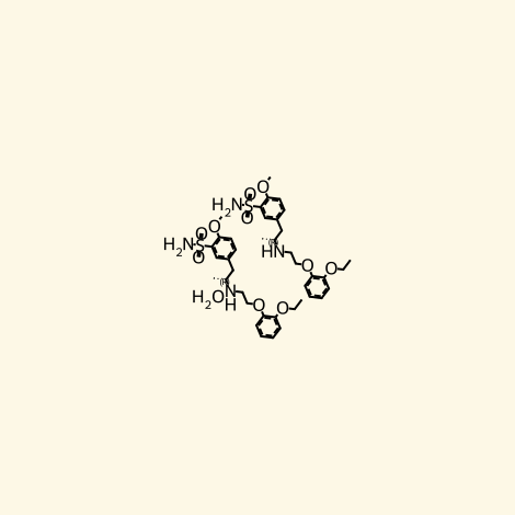 CCOc1ccccc1OCCN[C@H](C)Cc1ccc(OC)c(S(N)(=O)=O)c1.CCOc1ccccc1OCCN[C@H](C)Cc1ccc(OC)c(S(N)(=O)=O)c1.O